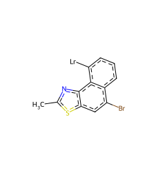 Cc1nc2c(cc(Br)c3ccc[c]([Lr])c32)s1